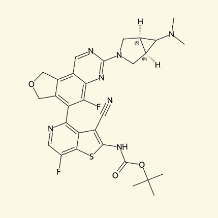 CN(C)C1[C@H]2CN(c3ncc4c5c(c(-c6ncc(F)c7sc(NC(=O)OC(C)(C)C)c(C#N)c67)c(F)c4n3)COC5)C[C@@H]12